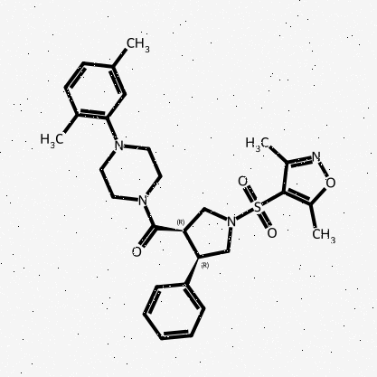 Cc1ccc(C)c(N2CCN(C(=O)[C@H]3CN(S(=O)(=O)c4c(C)noc4C)C[C@H]3c3ccccc3)CC2)c1